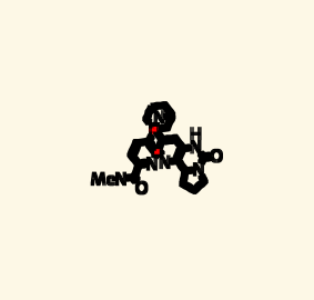 CNC(=O)c1ccc(N2CC3CC(C2)N3Cc2cnc3c(c2)NC(=O)N2CCCC32)cn1